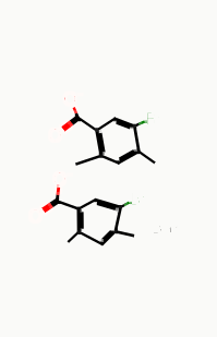 Cc1cc(C)c(C(=O)[O-])cc1Br.Cc1cc(C)c(C(=O)[O-])cc1Br.[Ba+2]